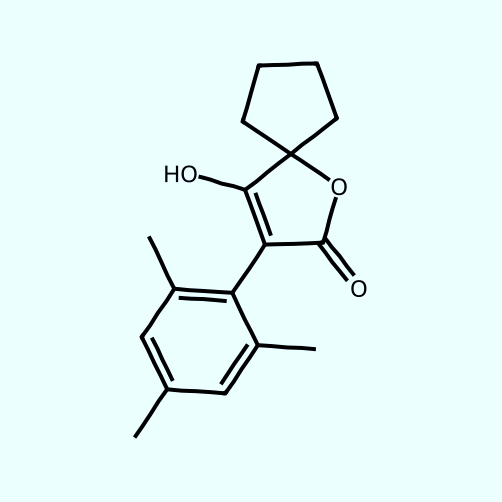 Cc1cc(C)c(C2=C(O)C3(CCCC3)OC2=O)c(C)c1